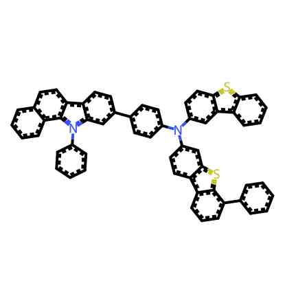 c1ccc(-c2cccc3c2sc2cc(N(c4ccc(-c5ccc6c7ccc8ccccc8c7n(-c7ccccc7)c6c5)cc4)c4ccc5sc6ccccc6c5c4)ccc23)cc1